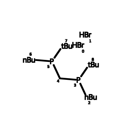 Br.Br.CCCCP(CP(CCCC)C(C)(C)C)C(C)(C)C